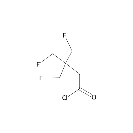 O=C(Cl)CC(CF)(CF)CF